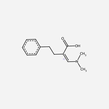 CN(C)/C=C(/CCc1ccccc1)C(=O)O